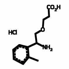 Cc1ccccc1C(N)COCCC(=O)O.Cl